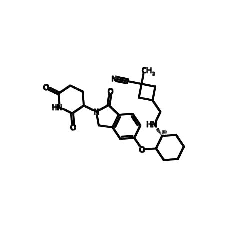 CC1(C#N)CC(CN[C@@H]2CCCCC2Oc2ccc3c(c2)CN(C2CCC(=O)NC2=O)C3=O)C1